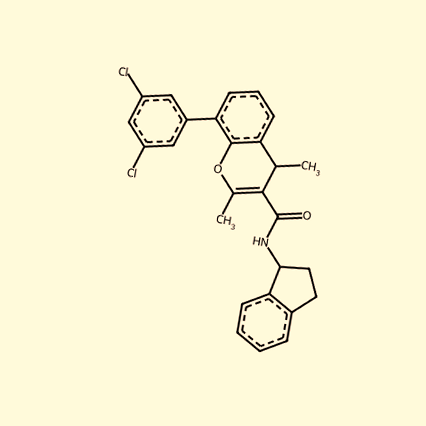 CC1=C(C(=O)NC2CCc3ccccc32)C(C)c2cccc(-c3cc(Cl)cc(Cl)c3)c2O1